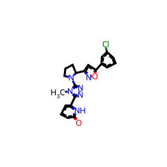 Cn1c(-c2cccc(=O)[nH]2)nnc1N1CCCC1c1cc(-c2cccc(Cl)c2)on1